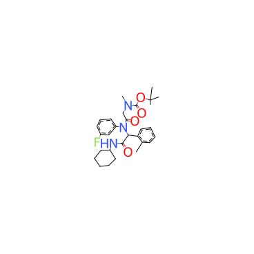 Cc1ccccc1C(C(=O)NC1CCCCC1)N(C(=O)CN(C)C(=O)OC(C)(C)C)c1cccc(F)c1